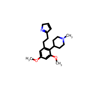 COc1cc(CCC2=NCC=C2)c(C2CCN(C)CC2)c(OC)c1